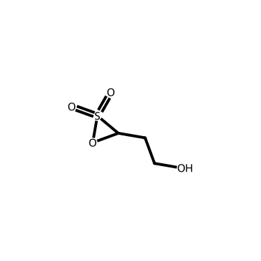 O=S1(=O)OC1CCO